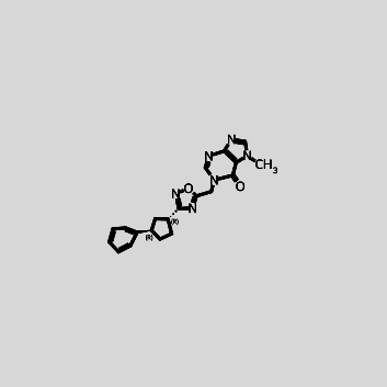 Cn1cnc2ncn(Cc3nc([C@@H]4CC[C@@H](c5ccccc5)C4)no3)c(=O)c21